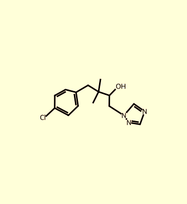 CC(C)(Cc1ccc(Cl)cc1)C(O)Cn1cncn1